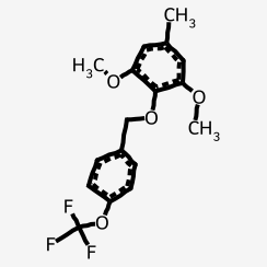 COc1cc(C)cc(OC)c1OCc1ccc(OC(F)(F)F)cc1